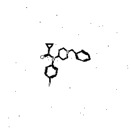 O=C(C1CC1)N(c1ccc(F)cc1)C1CCN(Cc2ccccc2)CC1